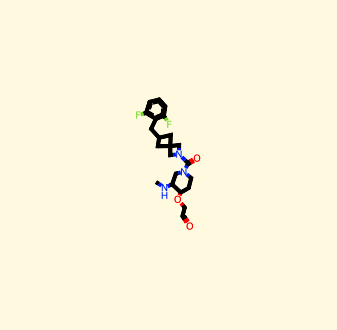 CNC1CN(C(=O)N2CC3(CC(Cc4c(F)cccc4F)C3)C2)CCC1OCC=O